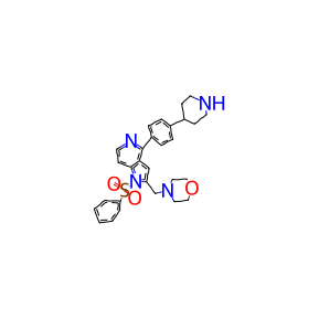 O=S(=O)(c1ccccc1)n1c(CN2CCOCC2)cc2c(-c3ccc(C4CCNCC4)cc3)nccc21